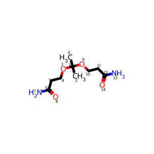 CC(C)(OCCC(N)=O)OCCC(N)=O